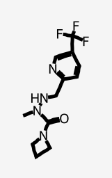 CN(NCc1ccc(C(F)(F)F)cn1)C(=O)N1CCC1